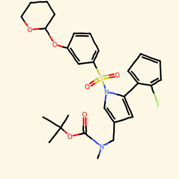 CN(Cc1cc(-c2ccccc2F)n(S(=O)(=O)c2cccc(OC3CCCCO3)c2)c1)C(=O)OC(C)(C)C